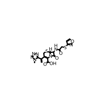 C=C(C1=C(C(=O)O)N2C(=O)C(NC(=O)CSc3ccon3)[C@H]2SC1)c1nnnn1C